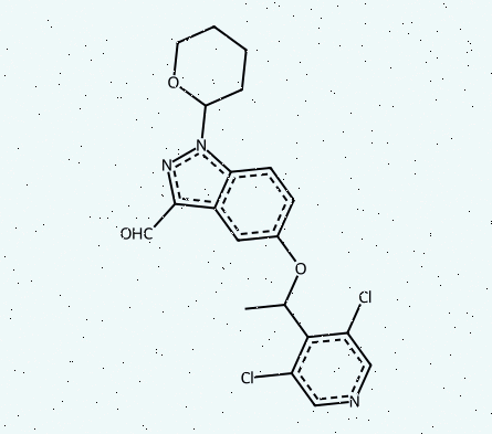 CC(Oc1ccc2c(c1)c(C=O)nn2C1CCCCO1)c1c(Cl)cncc1Cl